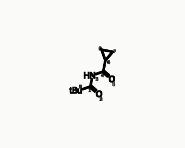 CC(C)(C)C(=O)NC(=O)C1CC1